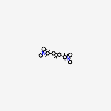 Cc1cc(-c2ccc3c(c2)C(C)(C)c2cc(-c4cc(C)c5c(c4C)C4(C)CCCCC4(C)N5c4ccccc4)ccc2-3)c(C)c2c1N(c1ccccc1)C1(C)CCCCC21C